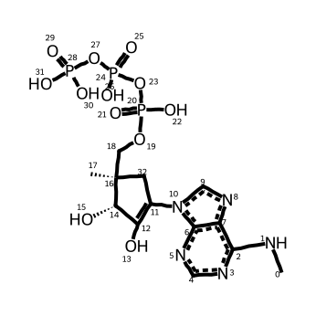 CNc1ncnc2c1ncn2C1=C(O)[C@H](O)[C@@](C)(COP(=O)(O)OP(=O)(O)OP(=O)(O)O)C1